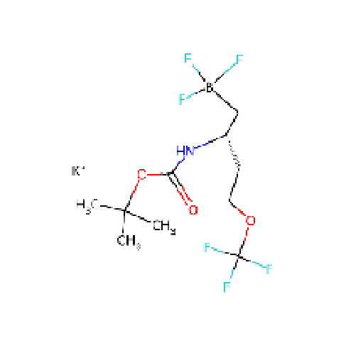 CC(C)(C)OC(=O)N[C@@H](CCOC(F)(F)F)C[B-](F)(F)F.[K+]